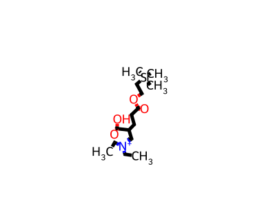 CC[N+](=CC(CCC(=O)OCC[Si](C)(C)C)C(=O)O)CC